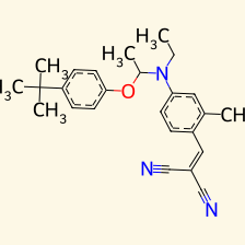 CCN(c1ccc(C=C(C#N)C#N)c(C)c1)C(C)Oc1ccc(C(C)(C)C)cc1